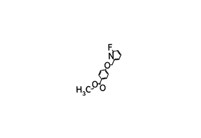 CCOC(=O)c1ccc(OCc2cccc(F)n2)cc1